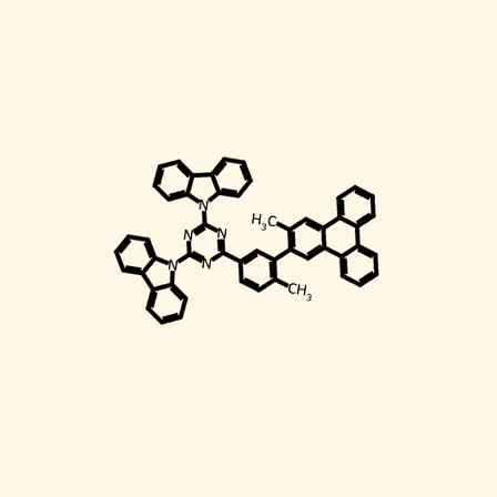 Cc1ccc(-c2nc(-n3c4ccccc4c4ccccc43)nc(-n3c4ccccc4c4ccccc43)n2)cc1-c1cc2c3ccccc3c3ccccc3c2cc1C